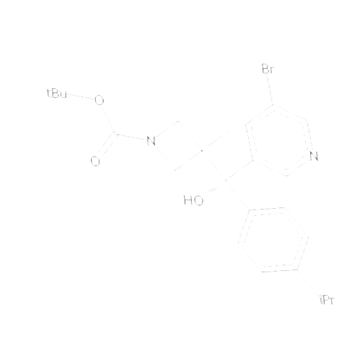 CC(C)c1ccc([C@](O)(c2cncc(Br)c2)C2(C)CN(C(=O)OC(C)(C)C)C2)cc1